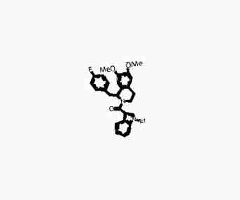 CCn1cc(C(=O)N2CCc3cc(OC)c(OC)cc3C2Cc2ccc(F)cc2)c2ccccc21